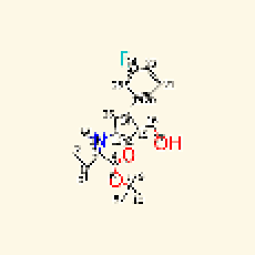 CC(C)[C@H](C(=O)OC(C)(C)C)N(C)C1C[C@H](CO)[C@@H](c2cccc(F)c2)C1